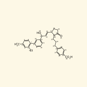 CCc1cc(C)ccc1-c1cccc(C(O)/C=C/C2CCC(=O)N2CCCc2ccc(C(=O)O)cc2)c1